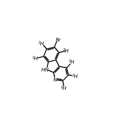 [2H]c1nc2[nH]c3c([2H])c([2H])c(Br)c([2H])c3c2c([2H])c1[2H]